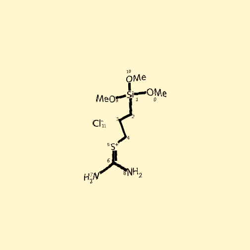 CO[Si](CCC[S+]=C(N)N)(OC)OC.[Cl-]